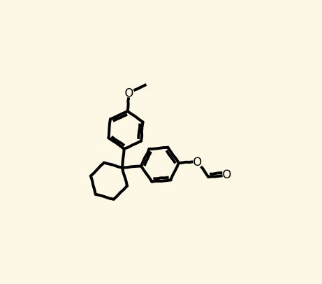 COc1ccc(C2(c3ccc(OC=O)cc3)CCCCC2)cc1